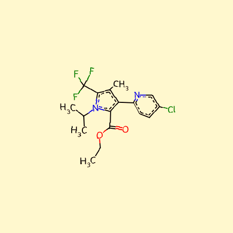 CCOC(=O)c1c(-c2ccc(Cl)cn2)c(C)c(C(F)(F)F)n1C(C)C